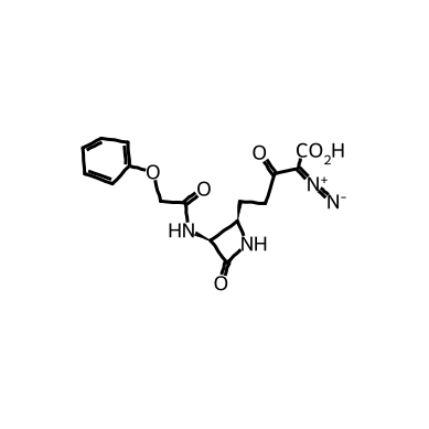 [N-]=[N+]=C(C(=O)O)C(=O)CC[C@H]1NC(=O)[C@H]1NC(=O)COc1ccccc1